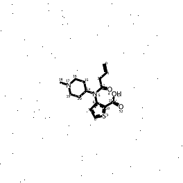 C=CCC(=O)N(c1ccsc1C(=O)O)C1CCN(C)CC1